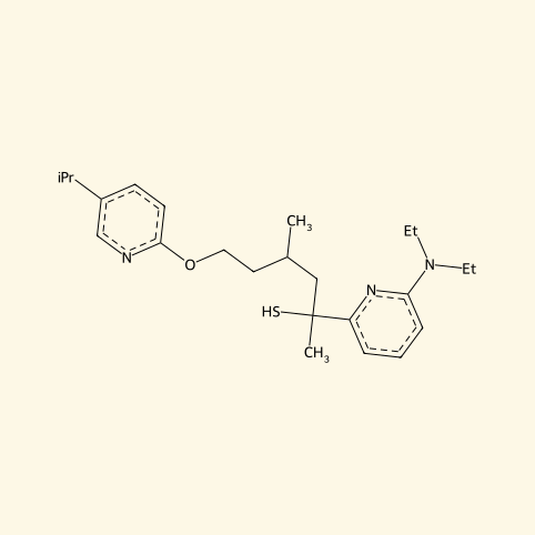 CCN(CC)c1cccc(C(C)(S)CC(C)CCOc2ccc(C(C)C)cn2)n1